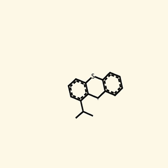 CC(C)c1cccc2c1[CH]c1ccccc1S2